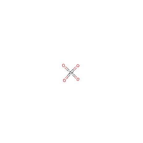 [O]=[Zn](=[O])(=[O])=[O]